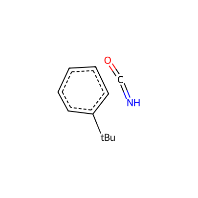 CC(C)(C)c1ccccc1.N=C=O